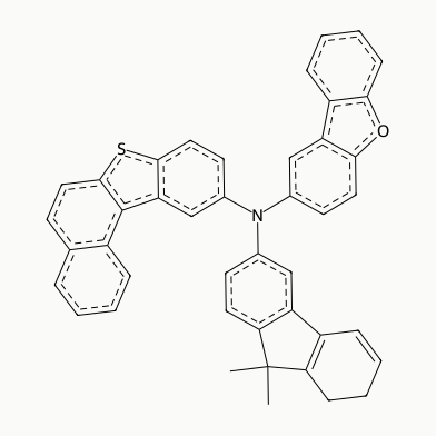 CC1(C)C2=C(C=CCC2)c2cc(N(c3ccc4oc5ccccc5c4c3)c3ccc4sc5ccc6ccccc6c5c4c3)ccc21